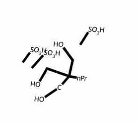 CCCC(CO)(CO)CO.CS(=O)(=O)O.CS(=O)(=O)O.CS(=O)(=O)O